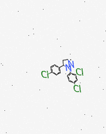 Clc1ccc(C2C[C]=NN2c2ccc(Cl)cc2Cl)cc1